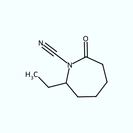 CCC1CCCCC(=O)N1C#N